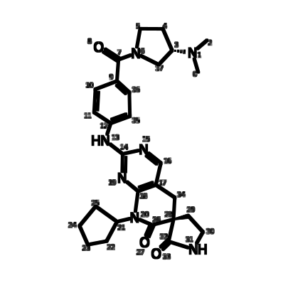 CN(C)[C@H]1CCN(C(=O)c2ccc(Nc3ncc4c(n3)N(C3CCCC3)C(=O)[C@]3(CCNC3=O)C4)cc2)C1